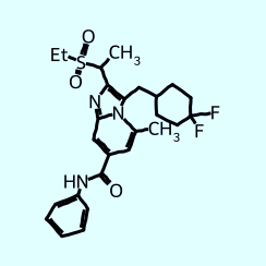 CCS(=O)(=O)C(C)c1nc2cc(C(=O)Nc3ccccc3)cc(C)n2c1CC1CCC(F)(F)CC1